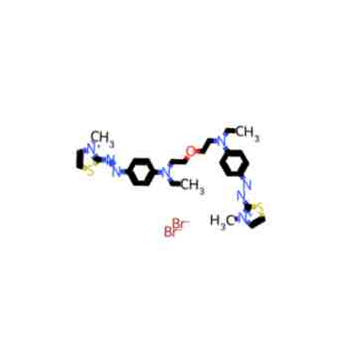 CCN(CCOCCN(CC)c1ccc(N=Nc2scc[n+]2C)cc1)c1ccc(N=Nc2scc[n+]2C)cc1.[Br-].[Br-]